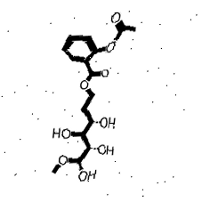 CO[C@H](O)[C@@H](O)C(O)[C@@H](O)CCOC(=O)c1ccccc1OC(C)=O